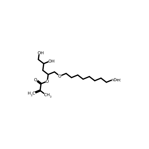 C=C(C)C(=O)OC(COCCCCCCCCCCCCCCCCCC)CC(O)CO